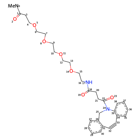 CNC(=O)CCOCCOCCOCCOCCNC(=O)CCC(=O)N1Cc2ccccc2C#Cc2ccccc21